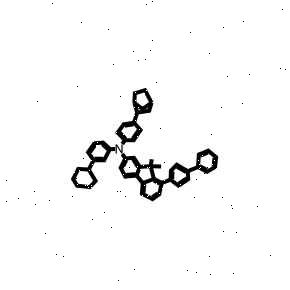 CC1(C)c2cc(N(c3ccc(C4CC5CCC4C5)cc3)c3cccc(C4CCCCC4)c3)ccc2-c2cccc(-c3ccc(-c4ccccc4)cc3)c21